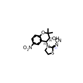 CC1(C)Oc2ccc([N+](=O)[O-])cc2[C@H](N2CCS/C2=N/C#N)[C@H]1O